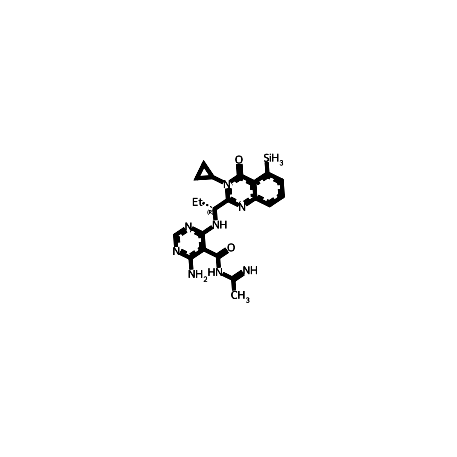 CC[C@@H](Nc1ncnc(N)c1C(=O)NC(C)=N)c1nc2cccc([SiH3])c2c(=O)n1C1CC1